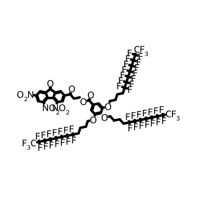 O=C(CCOC(=O)c1cc(OCCCCC(F)(F)C(F)(F)C(F)(F)C(F)(F)C(F)(F)C(F)(F)C(F)(F)C(F)(F)F)c(OCCCCC(F)(F)C(F)(F)C(F)(F)C(F)(F)C(F)(F)C(F)(F)C(F)(F)C(F)(F)F)c(OCCCCC(F)(F)C(F)(F)C(F)(F)C(F)(F)C(F)(F)C(F)(F)C(F)(F)C(F)(F)F)c1)c1cc2c(c([N+](=O)[O-])c1)-c1c(cc([N+](=O)[O-])cc1[N+](=O)[O-])C2=O